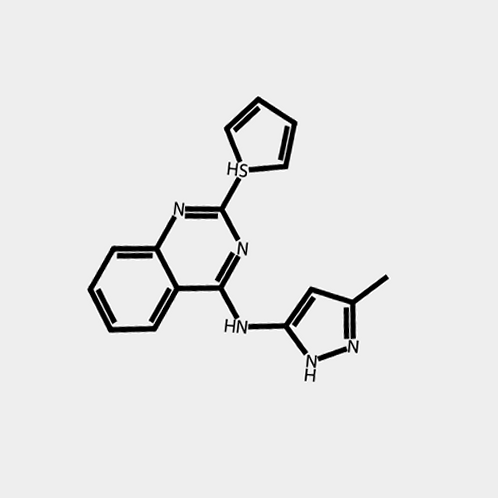 Cc1cc(Nc2nc([SH]3C=CC=C3)nc3ccccc23)[nH]n1